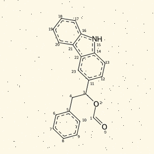 O=COC(Cc1ccccc1)c1ccc2[nH]c3ccccc3c2c1